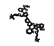 CC(C)(C)OC(=O)N1CCC[C@H]1c1ncc(-c2ccc3cc(-c4nccnc4-c4cnc([C@@]5(C(C)(C)C)CCCN5C(=O)O)n4COCC[Si](C)(C)C)ccc3c2)n1COCC[Si](C)(C)C